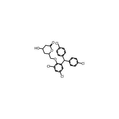 O=C1CC(O)CC(COc2c(Cl)cc(Cl)cc2C(c2ccc(Cl)cc2)c2ccc(Cl)cc2)O1